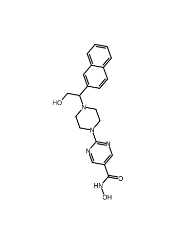 O=C(NO)c1cnc(N2CCN(C(CO)c3ccc4ccccc4c3)CC2)nc1